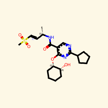 C[C@@H](/C=C/S(C)(=O)=O)NC(=O)c1cnc(C2CCCC2)nc1O[C@H]1CCCC[C@H]1O